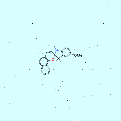 COc1ccc2c(c1)C(C)(C)C1(C=Cc3ccc4ccccc4c3O1)N2C